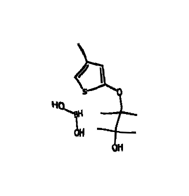 Cc1csc(OC(C)(C)C(C)(C)O)c1.OBO